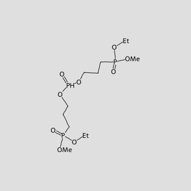 CCOP(=O)(CCCO[PH](=O)OCCCP(=O)(OC)OCC)OC